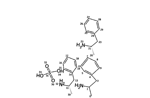 CC(N)Cc1ccccc1.C[C@H](N)Cc1ccccc1.C[C@H](N)Cc1ccccc1.O=S(=O)(O)O